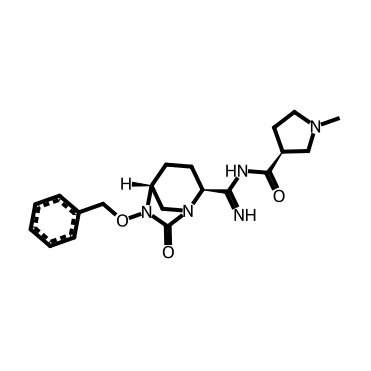 CN1CC[C@H](C(=O)NC(=N)[C@@H]2CC[C@@H]3CN2C(=O)N3OCc2ccccc2)C1